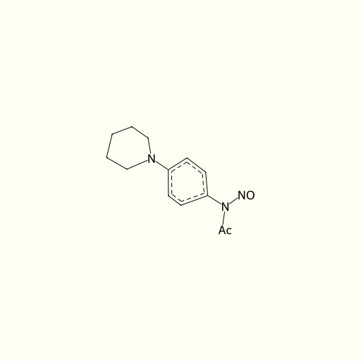 CC(=O)N(N=O)c1ccc(N2CCCCC2)cc1